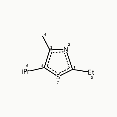 CCc1nc(C)c(C(C)C)s1